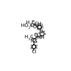 Cc1nc(-c2ccc(Cl)cc2)sc1C(=O)N[C@H]1CCCN(c2cccc(OC(C)(C)C(=O)O)c2)C1